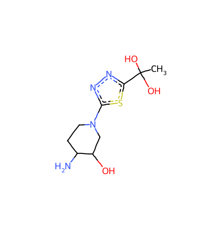 CC(O)(O)c1nnc(N2CCC(N)C(O)C2)s1